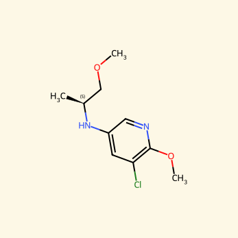 COC[C@H](C)Nc1cnc(OC)c(Cl)c1